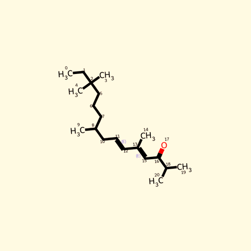 CCC(C)(C)CCCC(C)C/C=C/C(C)=C/C(=O)C(C)C